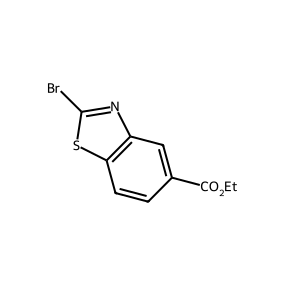 CCOC(=O)c1ccc2sc(Br)nc2c1